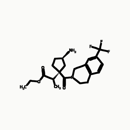 CCOC(=O)C(C)[C@]1(C(=O)N2CCc3ccc(C(F)(F)F)cc3C2)CC[C@@H](N)C1